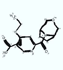 CCOc1cc(C(=O)N2C3CCC2COC3)ncc1C(=O)O